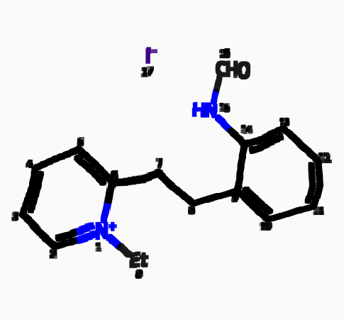 CC[n+]1ccccc1CCc1ccccc1NC=O.[I-]